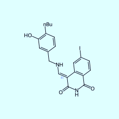 CCCCc1ccc(CN/C=C2/C(=O)NC(=O)c3ccc(I)cc32)cc1O